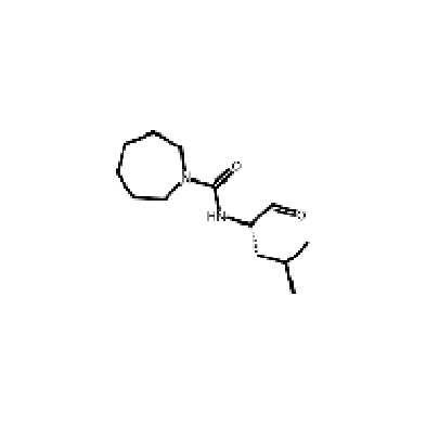 CC(C)C[C@@H]([C]=O)NC(=O)N1CCCCCC1